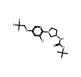 CC(C)(C)OC(=O)N[C@@H]1CCN(c2ncc(OCC(F)(F)F)cc2Cl)C1